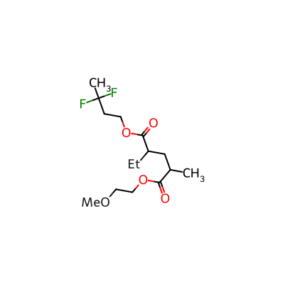 CCC(CC(C)C(=O)OCCOC)C(=O)OCCC(C)(F)F